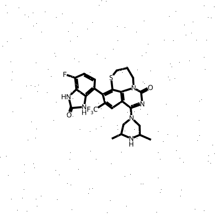 CC1CN(c2nc(=O)n3c4c(c(-c5ccc(F)c6[nH]c(=O)[nH]c56)c(C(F)(F)F)cc24)SCCC3)CC(C)N1